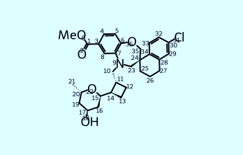 COC(=O)c1ccc2c(c1)N(C[C@@H]1CC[C@H]1[C@H]1C[C@@H](O)C[C@H](C)O1)C[C@@]1(CCCc3cc(Cl)ccc31)CO2